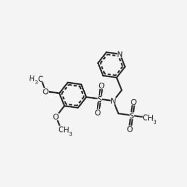 COc1ccc(S(=O)(=O)N(Cc2cccnc2)CS(C)(=O)=O)cc1OC